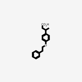 CC(CC(=O)O)c1ccc(OCCc2ccccc2)cc1